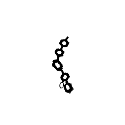 Cc1ccc(-c2ccc(-c3cccc(-c4ccc5c(c4)oc4ccccc45)c3)cc2)cc1